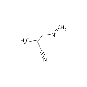 C=NCC(=C)C#N